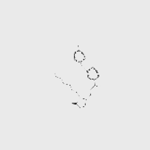 O=C(O)CCCCCCN1C(=O)CC[C@@H]1CCC(O)c1cccc(Oc2ccc(F)cc2)c1